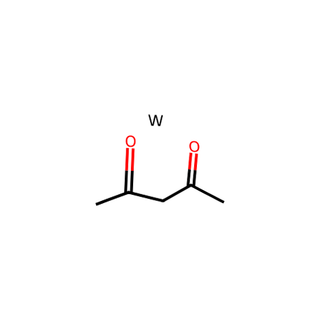 CC(=O)CC(C)=O.[W]